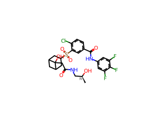 C[C@H](O)CNC(=O)CC1(O)C2CC1CC(S(=O)(=O)c1cc(C(=O)Nc3cc(F)c(F)c(F)c3)ccc1Cl)C2